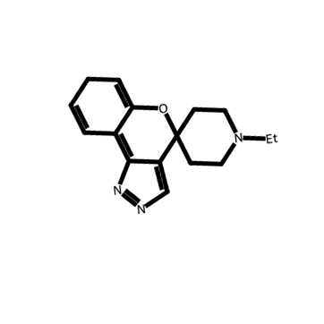 CCN1CCC2(CC1)OC1=CCC=CC1=C1N=NC=C12